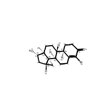 C[C@]12CC[C@H]3[C@@H](CCC4=C(Br)C(=O)CC[C@@H]43)[C@]13C[C@@H]3C[C@@H]2O